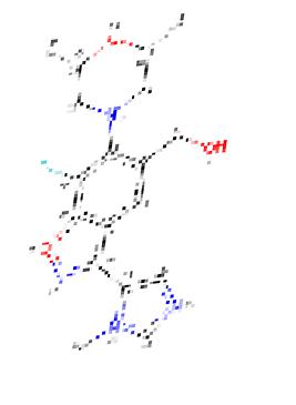 C[C@@H]1CN(c2c(CO)cc3c(-c4cncn4C)noc3c2F)C[C@H](C)O1